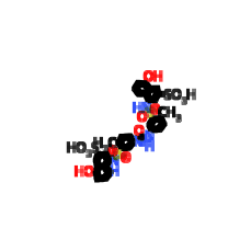 Cc1ccc(NC(=O)Nc2ccc(C)c(S(=O)(=O)Nc3cc(S(=O)(=O)O)cc4c(O)cccc34)c2)cc1S(=O)(=O)Nc1cc(S(=O)(=O)O)cc2c(O)cccc12